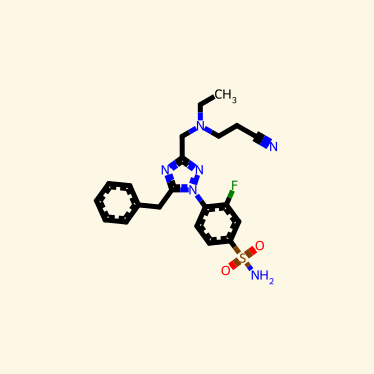 CCN(CCC#N)Cc1nc(Cc2ccccc2)n(-c2ccc(S(N)(=O)=O)cc2F)n1